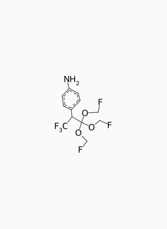 Nc1ccc(C(C(F)(F)F)C(OCF)(OCF)OCF)cc1